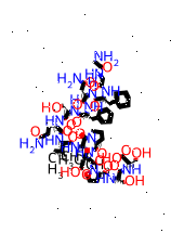 CC[C@H](C)[C@H](NC(=O)[C@H](CCC(N)=O)NC(=O)[C@H](CO)NC(=O)[C@H](Cc1ccccc1)NC(=O)[C@H](CC(N)=O)NC(=O)[C@H](Cc1ccccc1)NC(=O)CNC(=O)CN)C(=O)N[C@@H](CC(C)C)C(=O)N1CCC[C@H]1C(=O)N[C@@H](CC(=O)O)C(=O)N1CCC[C@H]1C(=O)N[C@@H](CO)C(=O)N[C@@H](CO)C(=O)O